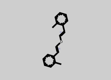 Cc1ccccc1/C=C/O/C=C/c1ccccc1C